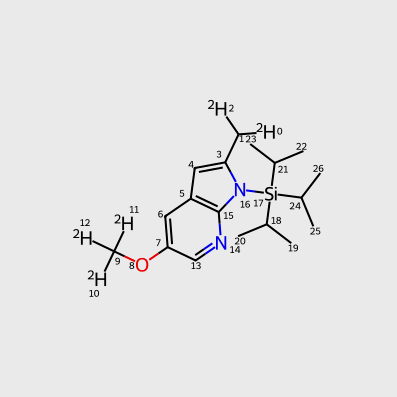 [2H]C([2H])c1cc2cc(OC([2H])([2H])[2H])cnc2n1[Si](C(C)C)(C(C)C)C(C)C